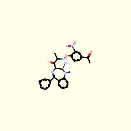 CC(=O)c1ccc(ONC(C)C(=O)C2N=C(c3ccccc3)c3ccccc3N(C)[C@@H]2N)c([N+](=O)[O-])c1